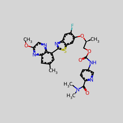 COc1cnc2c(-c3nc4cc(F)c(O[C@@H](C)COC(=O)Nc5ccc(C(=O)N(C)C)nc5)cc4s3)cc(C)cc2n1